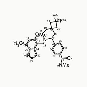 CNC(=O)c1ccc(C2CC3(CCN2Cc2c(OC)cc(C)c4[nH]ccc24)CC(F)(F)C3)cc1